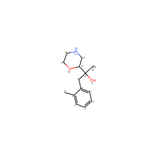 Cc1ccccc1CC(O)(C(C)C)C1CNCCO1